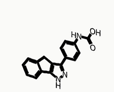 O=C(O)Nc1ccc(-c2n[nH]c3c2Cc2ccccc2-3)cc1